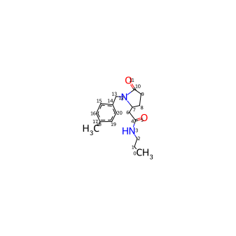 CCCNC(=O)CC1CCC(=O)N1Cc1ccc(C)cc1